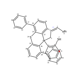 CCC/C=C\CC1(C2=C(S)C=CCC2)c2cccc(-c3ccccc3)c2Sc2cccc(-c3ccccc3)c21